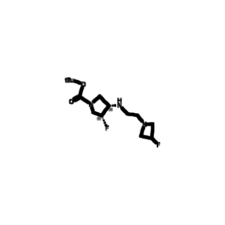 CC(C)(C)OC(=O)N1C[C@@H](F)[C@@H](NCCN2CC(F)C2)C1